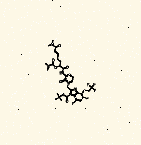 CN(C)C(=O)/C=C/CC[C@H](OC(=O)N(C)C)C(=O)Nc1cccn(Cc2nc3c(CCC(F)(F)F)c(F)cc(F)c3n2C(=O)OC(C)(C)C)c1=O